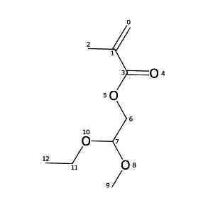 C=C(C)C(=O)OCC(OC)OCC